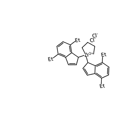 CCc1ccc(CC)c2c1C=C[CH]2[Zr+2]1([CH]2C=Cc3c(CC)ccc(CC)c32)[CH2]CC[CH2]1.[Cl-].[Cl-]